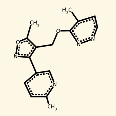 Cc1ccc(-c2noc(C)c2COc2nnccc2C)cn1